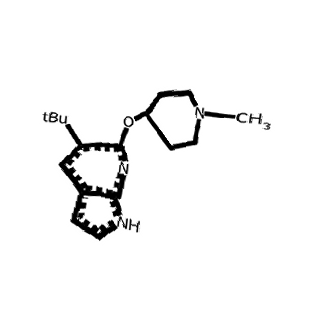 CN1CCC(Oc2nc3[nH]ccc3cc2C(C)(C)C)CC1